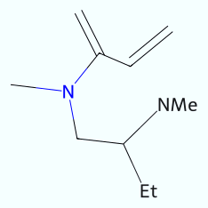 C=CC(=C)N(C)CC(CC)NC